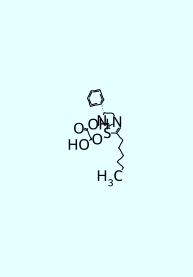 CCCCCCC1=CN2C[C@@H](c3ccccc3)N=C2S1.O=C(O)C(=O)O